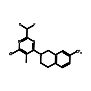 Cc1c(Cl)nc(C(F)F)nc1N1CCc2ccc(C(F)(F)F)cc2C1